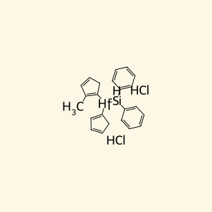 CC1=[C]([Hf]([C]2=CC=CC2)[SiH](c2ccccc2)c2ccccc2)CC=C1.Cl.Cl